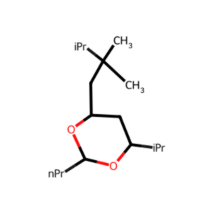 CCCC1OC(CC(C)(C)C(C)C)CC(C(C)C)O1